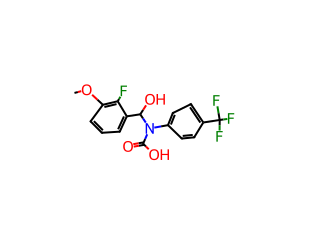 COc1cccc(C(O)N(C(=O)O)c2ccc(C(F)(F)F)cc2)c1F